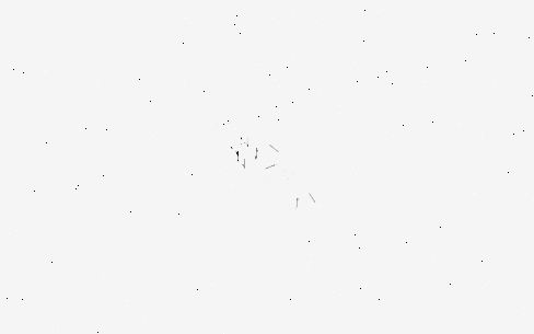 Brc1c(OCc2ccoc2)ccc2c1nnn2CC1CC1